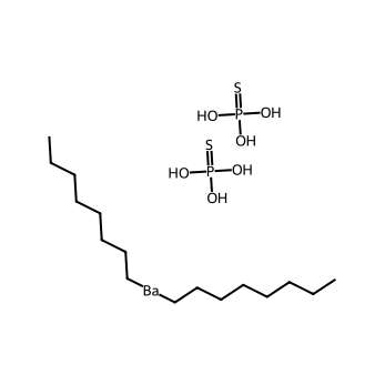 CCCCCCC[CH2][Ba][CH2]CCCCCCC.OP(O)(O)=S.OP(O)(O)=S